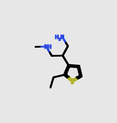 CCc1sccc1C(CN)CNC